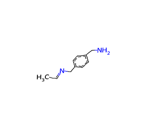 C/C=N/Cc1ccc(CN)cc1